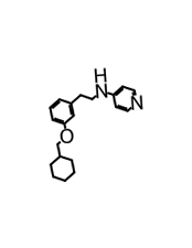 c1cc(CCNc2ccncc2)cc(OCC2CCCCC2)c1